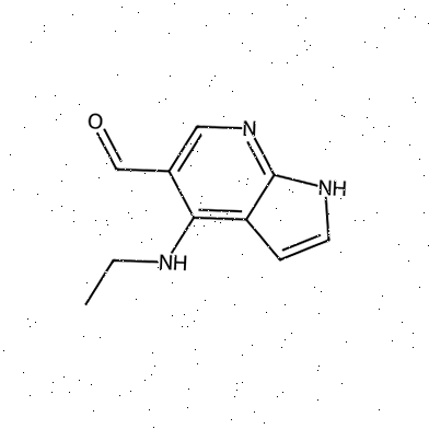 CCNc1c(C=O)cnc2[nH]ccc12